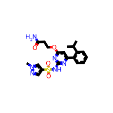 CC(C)c1ccccc1-c1cc(OCCC(N)=O)nc(NS(=O)(=O)c2cnn(C)c2)n1